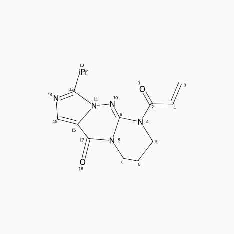 C=CC(=O)N1CCCn2c1nn1c(C(C)C)ncc1c2=O